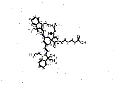 CCCNC(=O)C1(C(=O)NCCCCCC(=O)O)CC(/C=C/C2=[N+](CC)c3ccccc3C2(C)C)=CC(=C/C=C2/N(CC)c3ccccc3C2(C)C)/C1